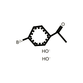 [B+2]c1ccc(C(C)=O)cc1.[OH-].[OH-]